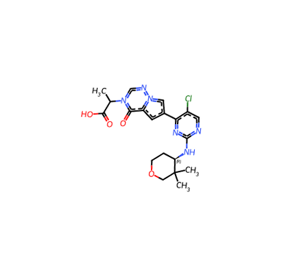 CC(C(=O)O)n1cnn2cc(-c3nc(N[C@@H]4CCOCC4(C)C)ncc3Cl)cc2c1=O